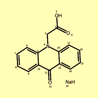 O=C(O)Cn1c2ccccc2c(=O)c2ccccc21.[NaH]